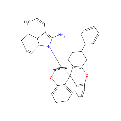 C/C=C\C1=C(N)N(C2=CC3OC4=CCCC=C4C4(C5=C(C=CCC5)OC5=C4CCC(C4C=CC=CC4)C5)C3C=C2)C2C=CCCC12